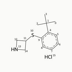 CC(C)(C)c1ccccc1SC1CNC1.Cl